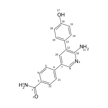 NC(=O)c1ccc(-c2cnc(N)c(-c3ccc(O)cc3)c2)cc1